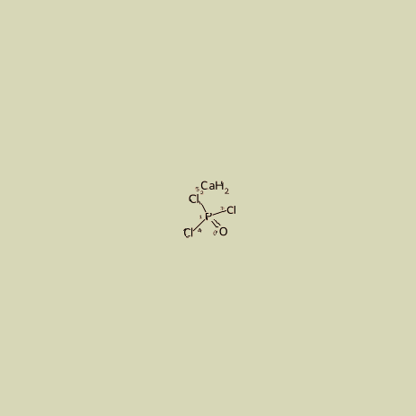 O=P(Cl)(Cl)Cl.[CaH2]